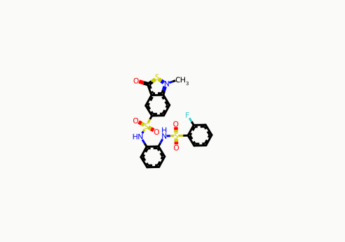 Cn1sc(=O)c2cc(S(=O)(=O)Nc3ccccc3NS(=O)(=O)c3ccccc3F)ccc21